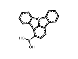 OB(O)c1ccc2c3ccccc3n3c4ccccc4c1c23